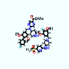 CCOc1cc(CN(c2cnc(C(=O)OC)cn2)C2CCNCC2)cc(OCC)c1-c1ccc(F)cc1.CCOc1cc(CN2CCC(Nc3ccc(S(C)(=O)=O)cn3)CC2)cc(OCC)c1F